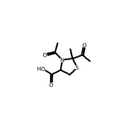 CC(=O)N1C(C(=O)O)CSC1(C)C(C)=O